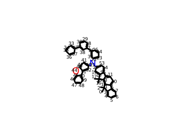 CC1(C)c2ccccc2-c2ccc3c(c21)C(C)(C)c1cc(N(c2cccc(-c4cccc(-c5ccccc5)c4)c2)c2ccc4oc5ccccc5c4c2)ccc1-3